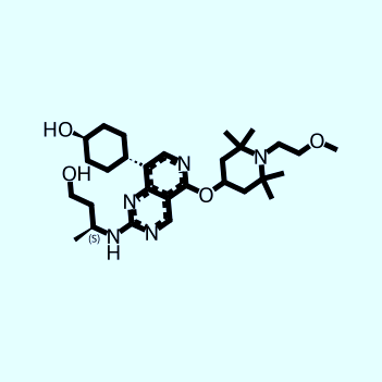 COCCN1C(C)(C)CC(Oc2ncc([C@H]3CC[C@H](O)CC3)c3nc(N[C@@H](C)CCO)ncc23)CC1(C)C